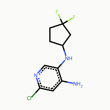 Nc1cc(Cl)ncc1NC1CCC(F)(F)C1